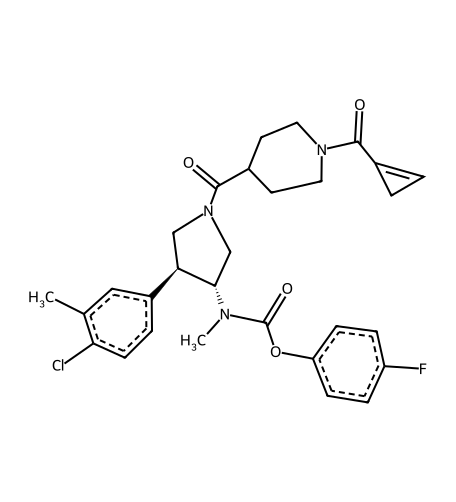 Cc1cc([C@H]2CN(C(=O)C3CCN(C(=O)C4=CC4)CC3)C[C@@H]2N(C)C(=O)Oc2ccc(F)cc2)ccc1Cl